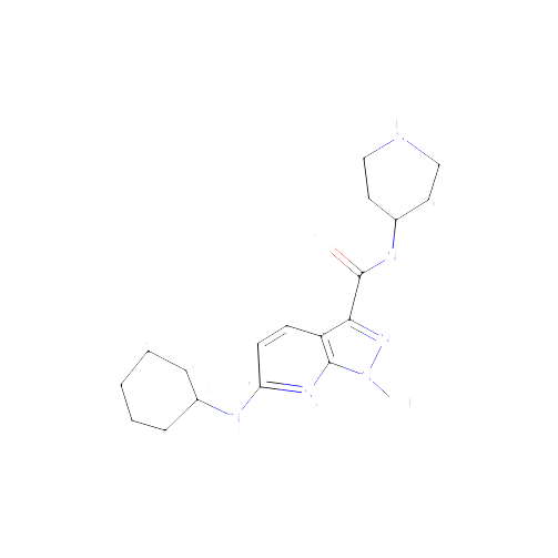 Cn1nc(C(=O)NC2CCNCC2)c2ccc(NC3CCCCC3)nc21